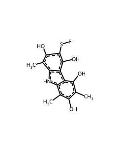 Cc1c(O)c(C)c2[nH]c3c(C)c(O)c(SF)c(O)c3c2c1O